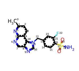 Cc1ccc2c(ncc3ncn(Cc4ccc(S(N)(=O)=O)c(F)c4)c32)n1